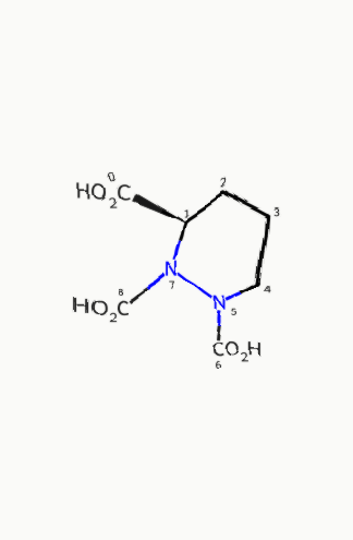 O=C(O)[C@H]1CCCN(C(=O)O)N1C(=O)O